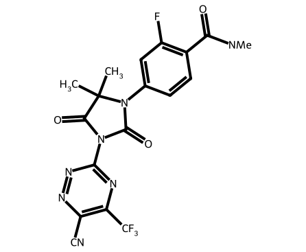 CNC(=O)c1ccc(N2C(=O)N(c3nnc(C#N)c(C(F)(F)F)n3)C(=O)C2(C)C)cc1F